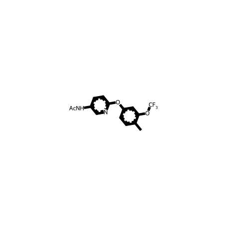 CC(=O)Nc1ccc(Oc2ccc(C)c(OC(F)(F)F)c2)nc1